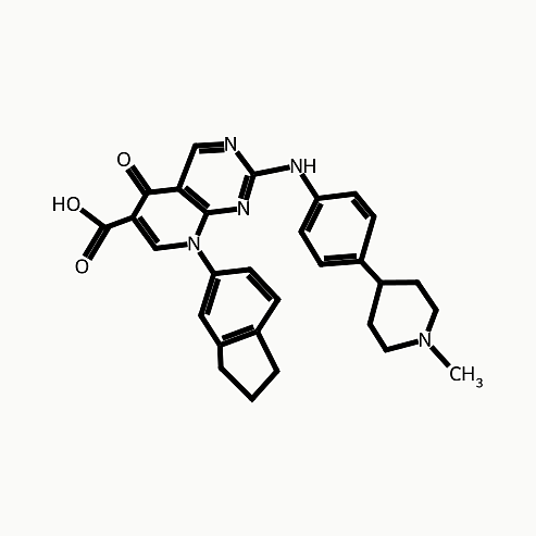 CN1CCC(c2ccc(Nc3ncc4c(=O)c(C(=O)O)cn(-c5ccc6c(c5)CCC6)c4n3)cc2)CC1